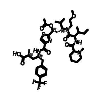 CCC(C)C(NC(=O)C1CCCCN1C)C(=O)N(CCOC)[C@H](C[C@@H](OC(C)=O)c1nc(C(=O)N[C@@H](Cc2ccc(C(F)(F)F)cc2)C[C@H](C)C(=O)O)cs1)C(C)C